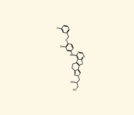 OCC(O)Cn1cc2c(n1)CCc1c-2sc2ncnc(Nc3ccc(OCc4cccc(F)c4)c(Cl)c3)c12